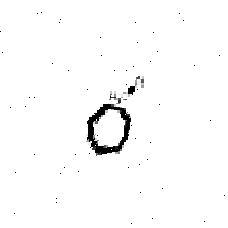 C1=C\CCCC\C=C/1.[CH3][Pt]